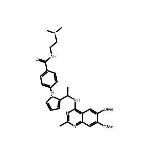 COc1cc2nc(C)nc(NC(C)C3=CC=C[SH]3c3ccc(C(=O)NCCN(C)C)cc3)c2cc1OC